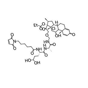 CCC(=O)O[C@]1(C(=O)COCNC(=O)[C@H](C)NC(=O)[C@H](CCC(O)O)NC(=O)CCCCCN2C(=O)C=CC2=O)[C@@H](C)CC2[C@@H]3CCC4=CC(=O)C=C[C@]4(C)[C@@]3(Cl)[C@@H](O)C[C@@]21C